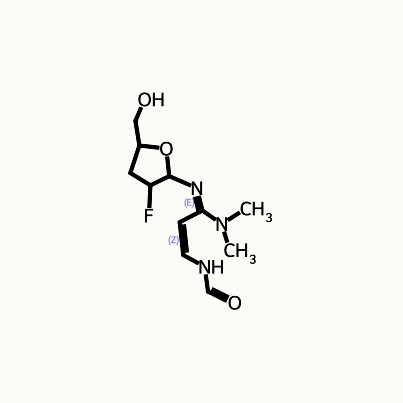 CN(C)C(/C=C\NC=O)=N/C1OC(CO)CC1F